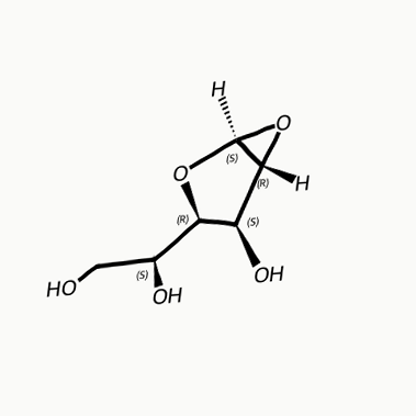 OC[C@H](O)[C@H]1O[C@H]2O[C@@H]2[C@H]1O